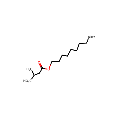 CCCCCCCCCCCCCCCCCCOC(=O)CC(C)C(=O)O